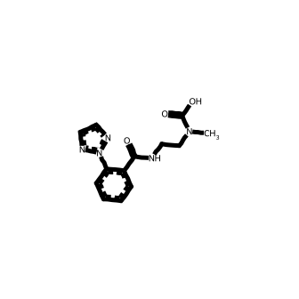 CN(CCNC(=O)c1ccccc1-n1nccn1)C(=O)O